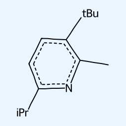 Cc1nc(C(C)C)ccc1C(C)(C)C